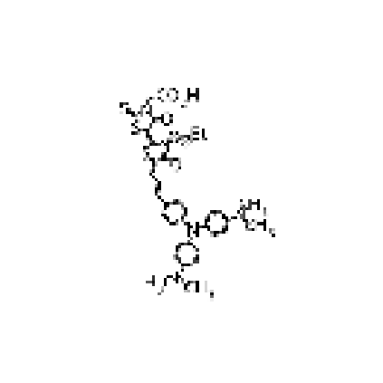 CCOOn1c(=O)/c(=C\C=C\c2ccc(N(c3ccc(N(C)C)cc3)c3ccc(N(C)C)cc3)cc2)s/c1=C1\SC(=S)N(CC(=O)O)C1=O